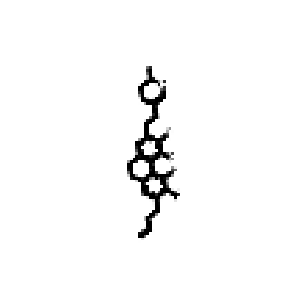 C=CCCc1cc2c(c(F)c1F)-c1c(cc(CCC3=COC(C)CC3)c(F)c1F)CC2